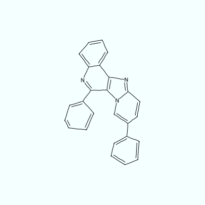 c1ccc(-c2ccc3nc4c5ccccc5nc(-c5ccccc5)c4n3c2)cc1